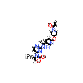 C=CC(=O)N1CCC(Oc2ccc([C@H](C)Nc3nccc(N4C(=O)OC[C@@H]4C(C)C)n3)cn2)CC1